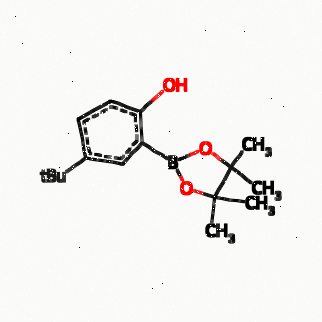 CC(C)(C)c1ccc(O)c(B2OC(C)(C)C(C)(C)O2)c1